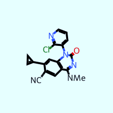 CNc1nc(=O)n(-c2cccnc2Cl)c2cc(C3=CC3)c(C#N)cc12